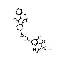 CN(C)C(=O)c1ccc(NC[C@H]2C[C@H]2C2CCN(C(=O)[C@H](c3ccccc3)C(F)(F)F)CC2)cc1Cl